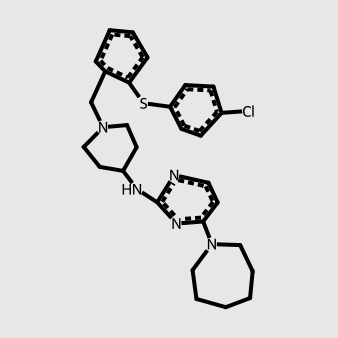 Clc1ccc(Sc2ccccc2CN2CCC(Nc3nccc(N4CCCCCC4)n3)CC2)cc1